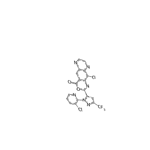 O=c1oc(-c2cc(C(F)(F)F)nn2-c2ncccc2Cl)nc2c(Cl)c3nccnc3cc12